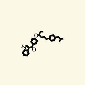 CCC(CCCc1ccc(CC(C)C)cc1)Oc1ccc(C(=O)C2=C[N]c3ccccc32)cc1